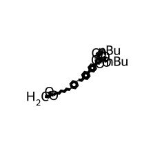 C=CC(=O)OCCCCCC[C@H]1CC[C@H](CCc2ccc(-c3ccc(C4O[C@@H](C(=O)OCCCC)[C@H](C(=O)OCCCC)O4)cc3)cc2)CC1